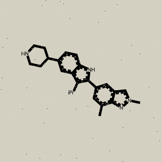 Cc1cc(-c2[nH]c3ccc(C4CCNCC4)cc3c2C(C)C)cc2cn(C)nc12